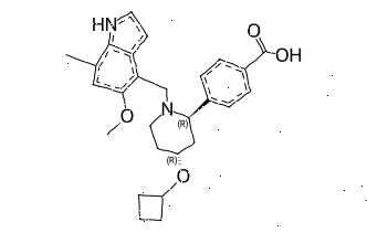 COc1cc(C)c2[nH]ccc2c1CN1CC[C@@H](OC2CCC2)C[C@@H]1c1ccc(C(=O)O)cc1